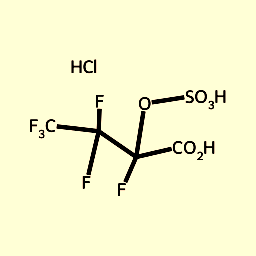 Cl.O=C(O)C(F)(OS(=O)(=O)O)C(F)(F)C(F)(F)F